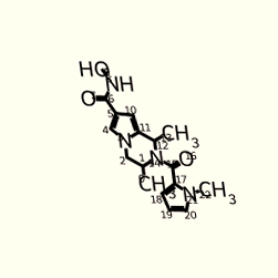 CC1Cn2cc(C(=O)NO)cc2C(C)N1C(=O)c1cccn1C